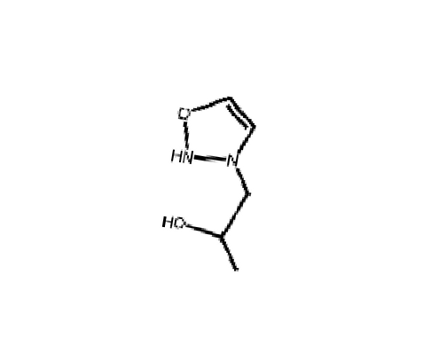 CC(O)CN1C=CON1